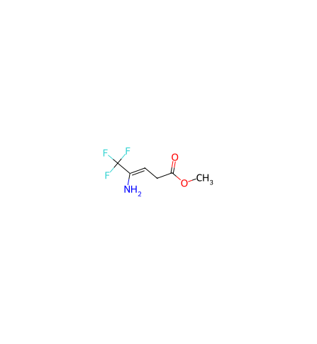 COC(=O)CC=C(N)C(F)(F)F